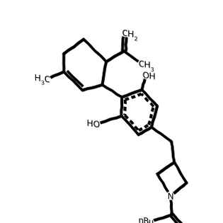 C=C(C)C1CCC(C)=CC1c1c(O)cc(CC2CN(C(=O)CCCC)C2)cc1O